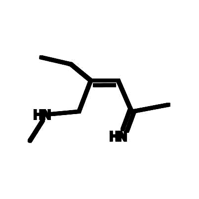 CC/C(=C/C(C)=N)CNC